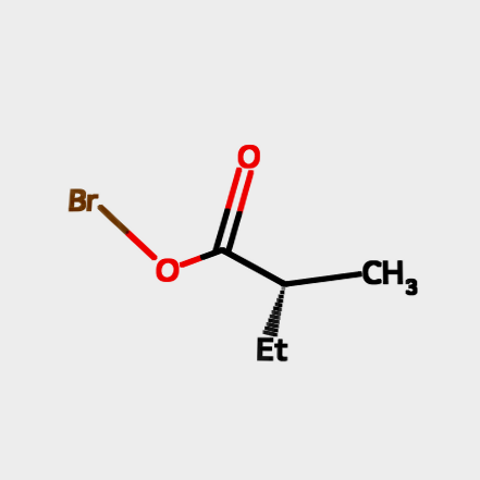 CC[C@@H](C)C(=O)OBr